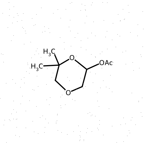 CC(=O)OC1COCC(C)(C)O1